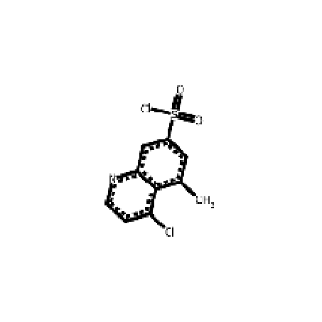 Cc1cc(S(=O)(=O)Cl)cc2nccc(Cl)c12